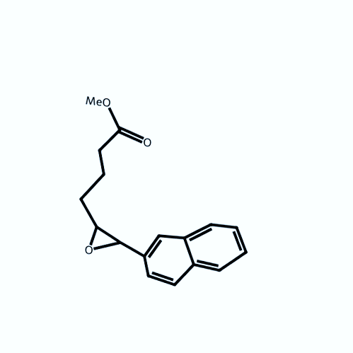 COC(=O)CCCC1OC1c1ccc2ccccc2c1